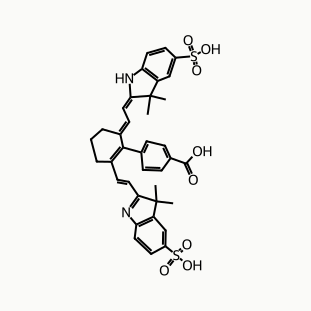 CC1(C)C(/C=C/C2=C(c3ccc(C(=O)O)cc3)C(=C/C=C3/Nc4ccc(S(=O)(=O)O)cc4C3(C)C)/CCC2)=Nc2ccc(S(=O)(=O)O)cc21